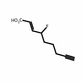 C#CCCCC(F)/C=C/C(=O)O